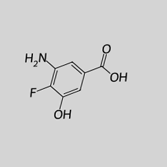 Nc1cc(C(=O)O)cc(O)c1F